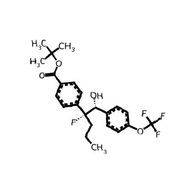 CCC[C@@](F)(c1ccc(C(=O)OC(C)(C)C)cc1)[C@H](O)c1ccc(OC(F)(F)F)cc1